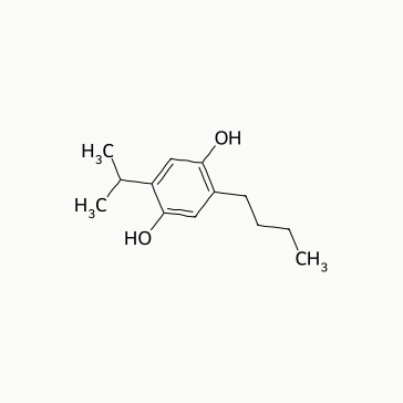 CCCCc1cc(O)c(C(C)C)cc1O